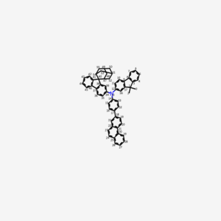 CC1(C)c2ccccc2-c2ccc(N(c3ccc(-c4ccc5c(ccc6ccccc65)c4)cc3)c3ccc4c(c3)C3(c5ccccc5-4)C4CC5CC(C4)CC3C5)cc21